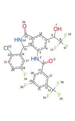 O=C(Nc1cc(C(O)C(F)(F)F)cc2c1C(c1cc(F)ccc1Cl)NC2=O)c1cc(F)cc(C(F)(F)F)c1